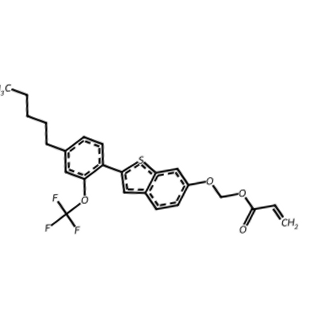 C=CC(=O)OCOc1ccc2cc(-c3ccc(CCCCC)cc3OC(F)(F)F)sc2c1